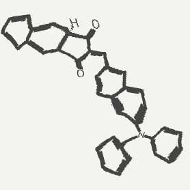 O=C1/C(=C\c2ccc3cc(N(c4ccccc4)c4ccccc4)ccc3c2)C(=O)[C@@H]2C=c3ccccc3=CC12